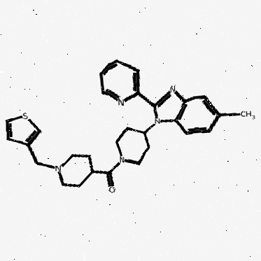 Cc1ccc2c(c1)nc(-c1ccccn1)n2C1CCN(C(=O)C2CCN(Cc3ccsc3)CC2)CC1